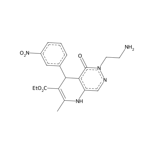 CCOC(=O)C1=C(C)Nc2cnn(CCN)c(=O)c2C1c1cccc([N+](=O)[O-])c1